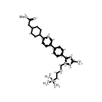 COC(=O)CC1CCC(c2ccc(-c3ccc(-c4nc(C(F)(F)F)nn4COCC[Si](C)(C)C)cc3)cn2)CC1